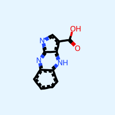 O=C(O)c1cnc2nc3ccccc3[nH]c1-2